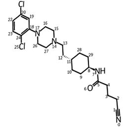 N#CCCCC(=O)N[C@H]1CC[C@H](CCN2CCN(c3cc(Cl)ccc3Cl)CC2)CC1